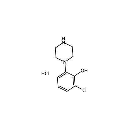 Cl.Oc1c(Cl)cccc1N1CCNCC1